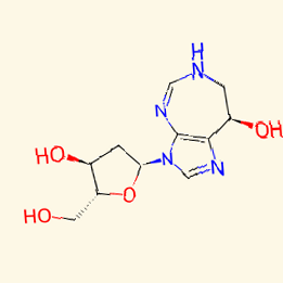 OC[C@H]1O[C@H](n2cnc3c2N=CNC[C@H]3O)C[C@@H]1O